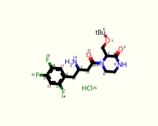 CC(C)(C)OCC1C(=O)NCCN1C(=O)CC(N)Cc1cc(F)c(F)cc1F.Cl